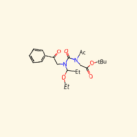 CCOC(CC)N(CC(=O)c1ccccc1)C(=O)N(CC(=O)OC(C)(C)C)C(C)=O